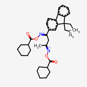 CCC1(CC)c2ccccc2-c2ccc(/C(C/C(C)=N/OC(=O)C3CCCCC3)=N/OC(=O)C3CCCCC3)cc21